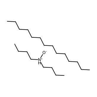 CCCCCCCCCCCCCC.CCCC[NH+]([O-])CCCC